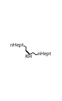 [CH2]CCCCCCCC/C=C\CCCCCCCC.[KH]